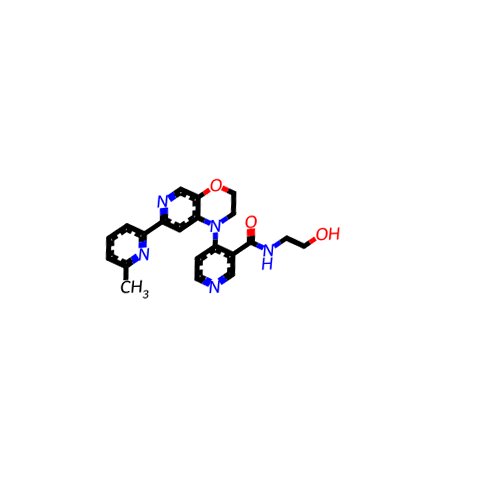 Cc1cccc(-c2cc3c(cn2)OCCN3c2ccncc2C(=O)NCCO)n1